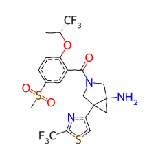 C[C@@H](Oc1ccc(S(C)(=O)=O)cc1C(=O)N1CC2(N)CC2(c2csc(C(F)(F)F)n2)C1)C(F)(F)F